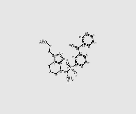 CC(=O)OCCn1ncc2c1CCCC2N(N)S(=O)(=O)c1cccc(C(=O)c2ccccc2)c1